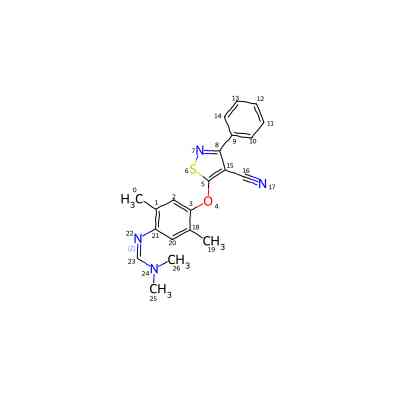 Cc1cc(Oc2snc(-c3ccccc3)c2C#N)c(C)cc1/N=C\N(C)C